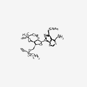 CSc1nn([C@H]2O[C@@H](CO[Si](C)(C)C(C)(C)C)[C@@H](O[Si](C)(C)C(C)(C)C)[C@@H]2F)c2ncnc(N)c12